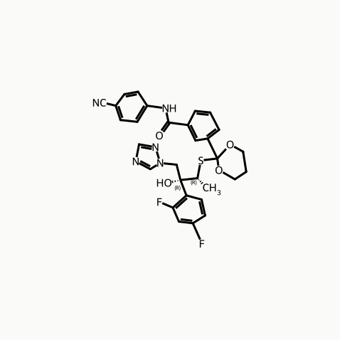 C[C@@H](SC1(c2cccc(C(=O)Nc3ccc(C#N)cc3)c2)OCCCO1)[C@](O)(Cn1cncn1)c1ccc(F)cc1F